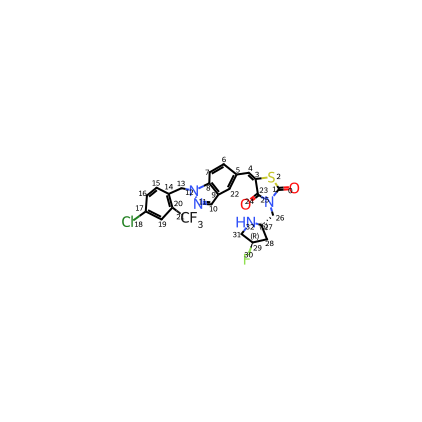 O=C1SC(=Cc2ccc3c(cnn3Cc3ccc(Cl)cc3C(F)(F)F)c2)C(=O)N1C[C@@H]1C[C@@H](F)CN1